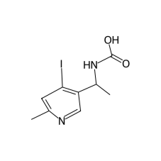 Cc1cc(I)c(C(C)NC(=O)O)cn1